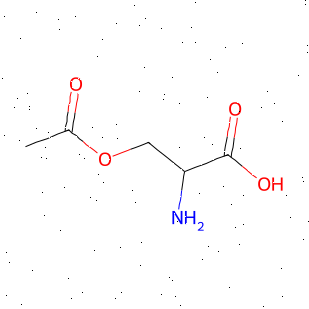 CC(=O)OCC(N)C(=O)O